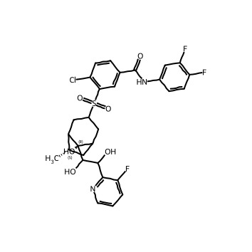 C[C@H]1CC2CC(S(=O)(=O)c3cc(C(=O)Nc4ccc(F)c(F)c4)ccc3Cl)CC1[C@@]2(O)C(O)C(O)c1ncccc1F